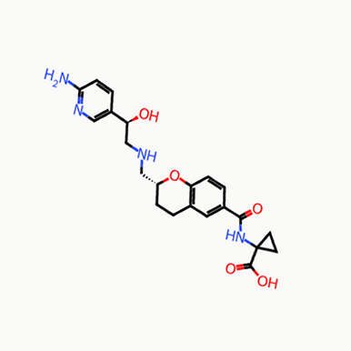 Nc1ccc([C@@H](O)CNC[C@H]2CCc3cc(C(=O)NC4(C(=O)O)CC4)ccc3O2)cn1